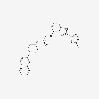 Cc1cnc(-c2cc3c(OC[C@@H](O)CN4CCC(c5ccc6ccccc6c5)CC4)cccc3[nH]2)s1